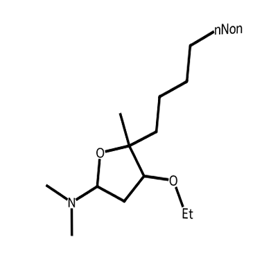 CCCCCCCCCCCCCC1(C)OC(N(C)C)CC1OCC